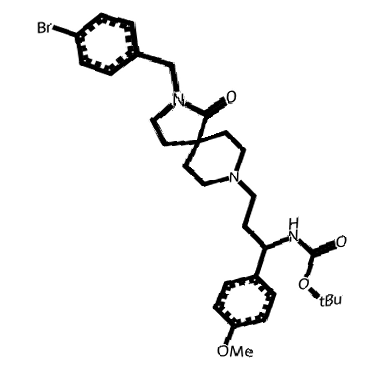 COc1ccc(C(CCN2CCC3(CC2)CCN(Cc2ccc(Br)cc2)C3=O)NC(=O)OC(C)(C)C)cc1